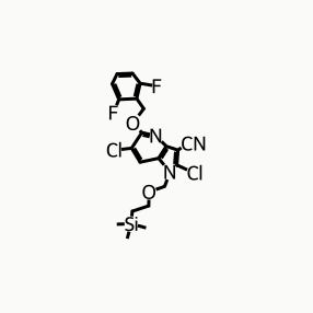 C[Si](C)(C)CCOCn1c(Cl)c(C#N)c2nc(OCc3c(F)cccc3F)c(Cl)cc21